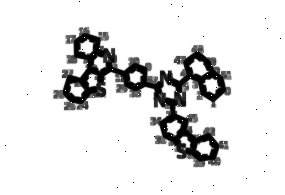 c1ccc2c(-c3nc(-c4ccc(-c5nc6ccccc6c6c5sc5ccccc56)cc4)nc(-c4ccc5sc6ccccc6c5c4)n3)cccc2c1